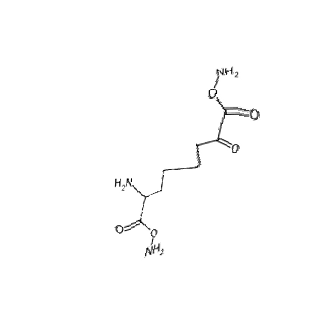 NOC(=O)C(=O)CCCCC(N)C(=O)ON